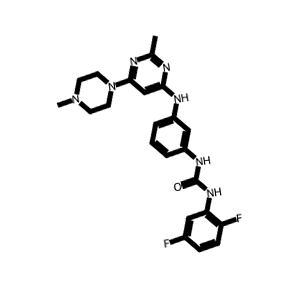 Cc1nc(Nc2cccc(NC(=O)Nc3cc(F)ccc3F)c2)cc(N2CCN(C)CC2)n1